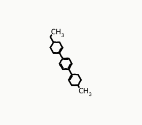 CCC1CC=C(c2ccc(C3=CCC(C)CC3)cc2)CC1